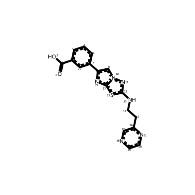 O=C(O)c1cccc(-c2cn3nc(NCCc4cnccn4)sc3n2)c1